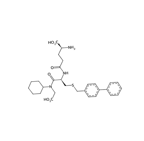 N[C@@H](CCC(=O)N[C@@H](CSCc1ccc(-c2ccccc2)cc1)C(=O)N(CC(=O)O)C1CCCCC1)C(=O)O